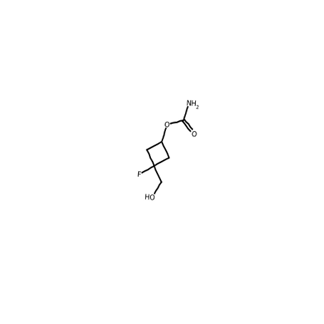 NC(=O)OC1CC(F)(CO)C1